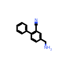 N#Cc1cc(CN)ccc1-c1ccccc1